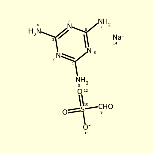 Nc1nc(N)nc(N)n1.O=CS(=O)(=O)[O-].[Na+]